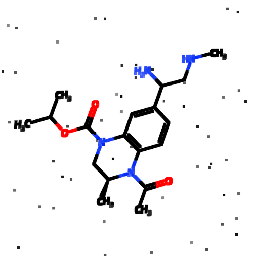 CNCC(N)c1ccc2c(c1)N(C(=O)OC(C)C)C[C@H](C)N2C(C)=O